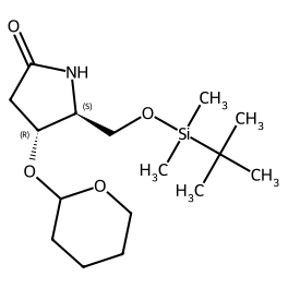 CC(C)(C)[Si](C)(C)OC[C@@H]1NC(=O)C[C@H]1OC1CCCCO1